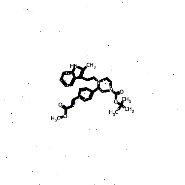 COC(=O)/C=C/c1ccc(C2CN(C(=O)OC(C)(C)C)CCN2CCc2c(C)[nH]c3ccccc23)cc1